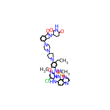 CCc1cc(Nc2ncc(Cl)c(Nc3ccc4nccnc4c3NS(C)(=O)=O)n2)c(OC)cc1N1CCC(N2CCN(c3cccc4c3CN(C3CCC(=O)NC3=O)C4=O)CC2)CC1